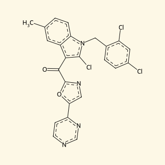 Cc1ccc2c(c1)c(C(=O)c1ncc(-c3ccncn3)o1)c(Cl)n2Cc1ccc(Cl)cc1Cl